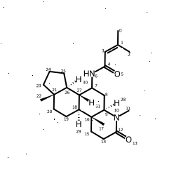 CC(C)=CC(=O)NC1C[C@H]2N(C)C(=O)CC[C@]2(C)[C@H]2CC[C@]3(C)CCC[C@H]3[C@H]12